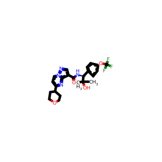 CC(C)(O)[C@@H](NC(=O)c1cnn2ccc(C3CCOCC3)nc12)c1ccc(OC(F)(F)F)cc1